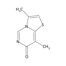 Cc1c(=O)ncn2c(C)csc12